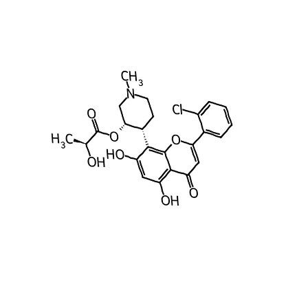 C[C@H](O)C(=O)O[C@@H]1CN(C)CC[C@@H]1c1c(O)cc(O)c2c(=O)cc(-c3ccccc3Cl)oc12